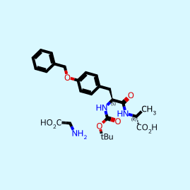 C[C@@H](NC(=O)[C@H](Cc1ccc(OCc2ccccc2)cc1)NC(=O)OC(C)(C)C)C(=O)O.NCC(=O)O